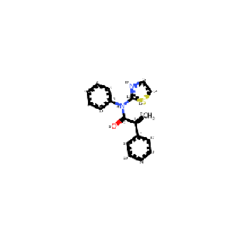 C=C(C(=O)N(c1ccccc1)c1nccs1)c1ccccc1